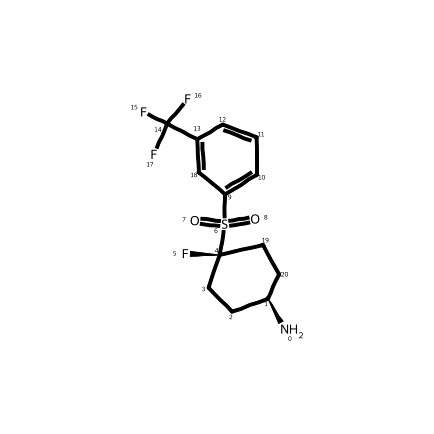 N[C@H]1CC[C@](F)(S(=O)(=O)c2cccc(C(F)(F)F)c2)CC1